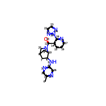 Cc1cnc(NC2CC3CC2N(C(=O)c2cccnc2-n2nccn2)C3)cn1